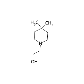 CC1(C)CCN(CCO)CC1